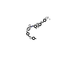 Cc1ccc(OCCc2ccc(CN3CCN(C(=O)/C=C/c4cc(C)c(Oc5ccc(OCc6ccc(C(F)(F)F)cc6)cn5)c(Cl)c4)CC3)cc2)cc1